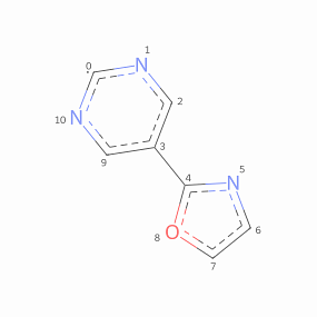 [c]1ncc(-c2ncco2)cn1